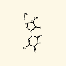 CCc1cn([C@@H]2O[C@H](CO)[C@@H](O)C2I)c(=O)[nH]c1=O